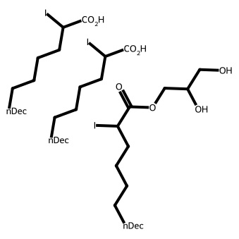 CCCCCCCCCCCCCCC(I)C(=O)O.CCCCCCCCCCCCCCC(I)C(=O)O.CCCCCCCCCCCCCCC(I)C(=O)OCC(O)CO